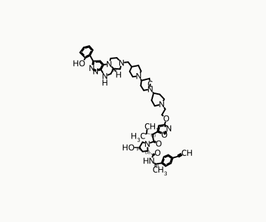 C#Cc1ccc([C@H](C)NC(=O)[C@@H]2C[C@@H](O)CN2C(=O)[C@@H](c2cc(OCCN3CCC(N4CCC(N5CCC(CN6CCN7c8cc(-c9ccccc9O)nnc8NC[C@H]7C6)CC5)CC4)CC3)no2)C(C)C)cc1